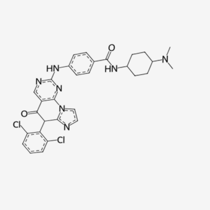 CN(C)C1CCC(NC(=O)c2ccc(Nc3ncc4c(n3)-n3ccnc3C(c3c(Cl)cccc3Cl)C4=O)cc2)CC1